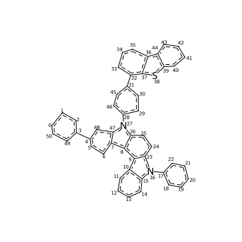 c1ccc(-c2ccc3c4c5c6ccccc6n(-c6ccccc6)c5ccc4n(-c4ccc(-c5cccc6c5sc5ccccc56)cc4)c3c2)cc1